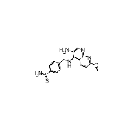 COc1ccc2c(NCc3ccc(S(N)=S)cc3)c(N)cnc2n1